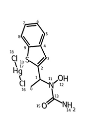 CC(c1cc2ccccc2s1)N(O)C(N)=O.[Cl][Hg][Cl]